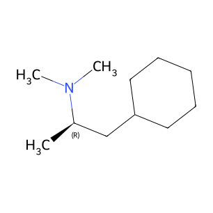 C[C@H](CC1CCCCC1)N(C)C